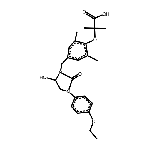 CCOc1ccc(N2CC(O)N(Cc3cc(C)c(OC(C)(C)C(=O)O)c(C)c3)C2=O)cc1